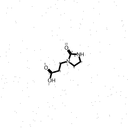 O=C(O)CCN1CCNC1=O